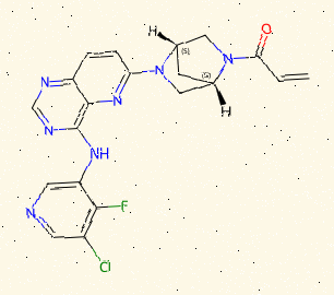 C=CC(=O)N1C[C@@H]2C[C@H]1CN2c1ccc2ncnc(Nc3cncc(Cl)c3F)c2n1